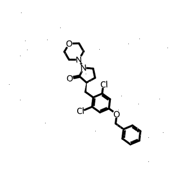 O=C1[C@H](Cc2c(Cl)cc(OCc3ccccc3)cc2Cl)CCN1N1CCOCC1